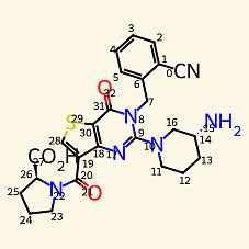 N#Cc1ccccc1Cn1c(N2CCC[C@@H](N)C2)nc2c(C(=O)N3CCC[C@H]3C(=O)O)csc2c1=O